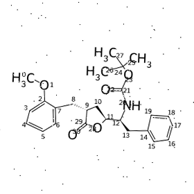 COc1ccccc1C[C@@H]1C[C@@H]([C@H](Cc2ccccc2)NC(=O)OC(C)(C)C)OC1=O